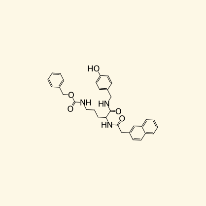 O=C(Cc1ccc2ccccc2c1)NC(CCCNC(=O)OCc1ccccc1)C(=O)NCc1ccc(O)cc1